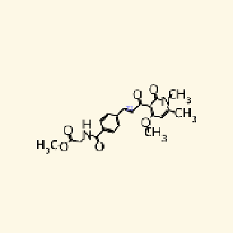 COC(=O)CNC(=O)c1ccc(/C=C/C(=O)c2c(OC)cc(C)n(C)c2=O)cc1